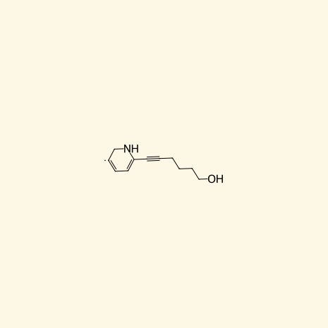 OCCCCC#CC1=CC=[C]CN1